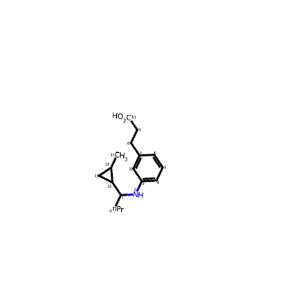 CCCC(Nc1cccc(CCC(=O)O)c1)C1CC1C